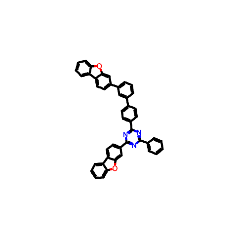 c1ccc(-c2nc(-c3ccc(-c4cccc(-c5ccc6c(c5)oc5ccccc56)c4)cc3)nc(-c3ccc4c(c3)oc3ccccc34)n2)cc1